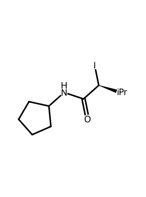 CC(C)[C@H](I)C(=O)NC1CCCC1